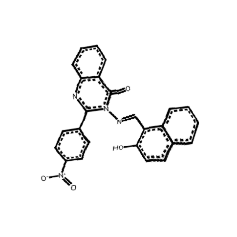 O=c1c2ccccc2nc(-c2ccc([N+](=O)[O-])cc2)n1N=Cc1c(O)ccc2ccccc12